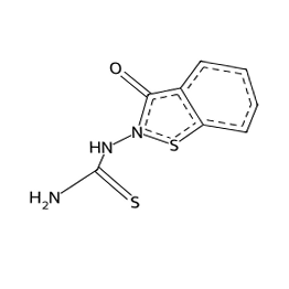 NC(=S)Nn1sc2ccccc2c1=O